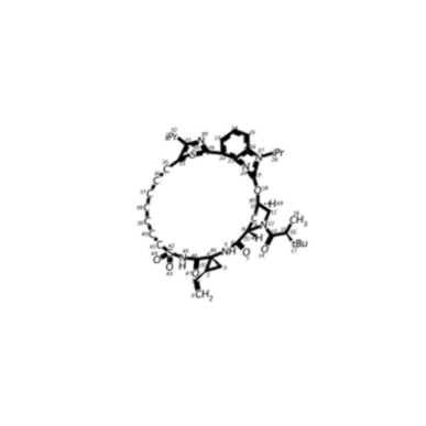 C=C[C@@H]1C[C@@]12NC(=O)[C@@H]1C[C@H](CN1C(=O)[C@@H](C)C(C)(C)C)Oc1nc3c(cccc3n1C(C)C)-c1nc(C(C)C)c(s1)CCCCCCCS(=O)(=O)NC2=O